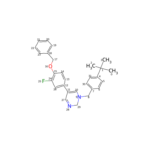 CC(C)(C)c1ccc(CN2C=C(c3ccc(OCc4ccccc4)c(F)c3)C=NC2)cc1